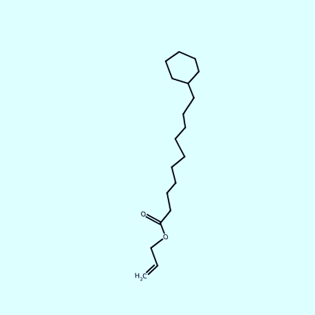 C=CCOC(=O)CCCCCCCCCC1CCCCC1